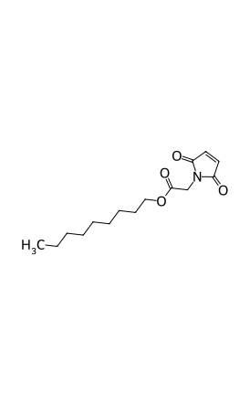 CCCCCCCCCOC(=O)CN1C(=O)C=CC1=O